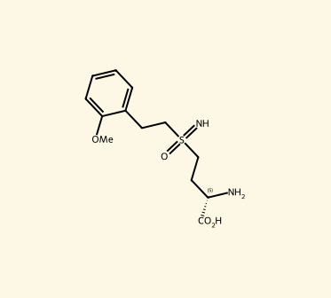 COc1ccccc1CCS(=N)(=O)CC[C@H](N)C(=O)O